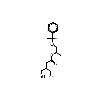 CC(COC(C)(C)c1ccccc1)OC(=O)CC(CS)CS